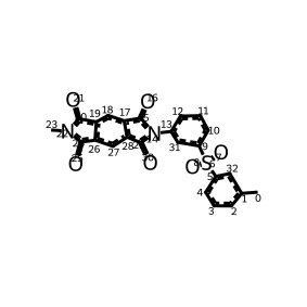 Cc1cccc(S(=O)(=O)c2cccc(-n3c(=O)c4cc5c(=O)n(C)c(=O)c5cc4c3=O)c2)c1